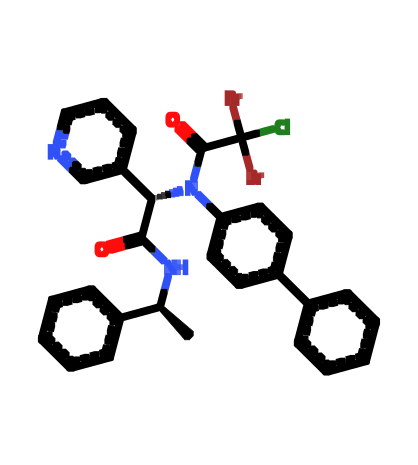 C[C@H](NC(=O)[C@H](c1cccnc1)N(C(=O)C(Cl)(Br)Br)c1ccc(-c2ccccc2)cc1)c1ccccc1